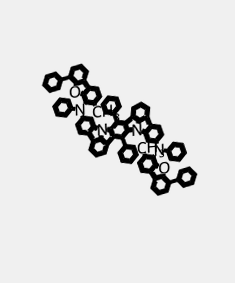 Cc1ccc2c(oc3c(-c4ccccc4)cccc32)c1N(c1ccccc1)c1ccc2c3cccc4c5c(-c6ccccc6)c6c(c(-c7ccccc7)c5n(c2c1)c34)c1cccc2c3ccc(N(c4ccccc4)c4c(C)ccc5c4oc4c(-c7ccccc7)cccc45)cc3n6c21